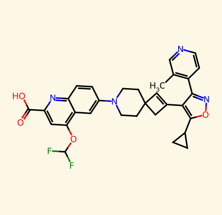 Cc1cnccc1-c1noc(C2CC2)c1C1=CC2(CCN(c3ccc4nc(C(=O)O)cc(OC(F)F)c4c3)CC2)C1